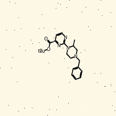 CC1CN(Cc2ccccc2)CCN1c1nccc(C(=O)OC(C)(C)C)n1